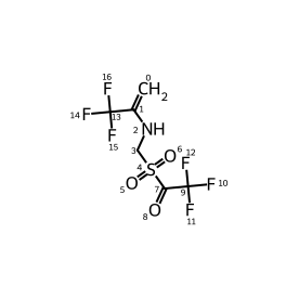 C=C(NCS(=O)(=O)C(=O)C(F)(F)F)C(F)(F)F